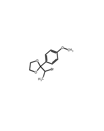 COc1ccc(C2(C(C)Br)OCCO2)cc1